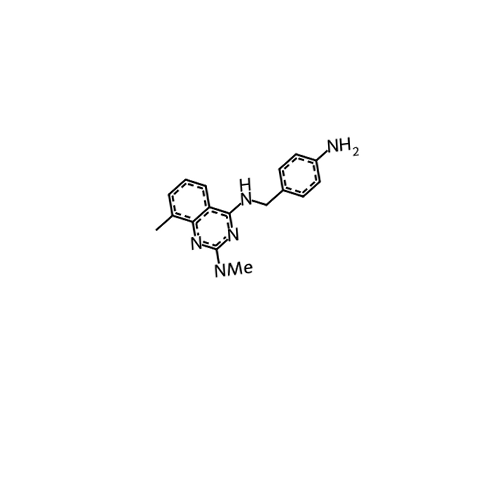 CNc1nc(NCc2ccc(N)cc2)c2cccc(C)c2n1